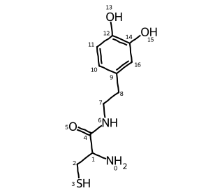 NC(CS)C(=O)NCCc1ccc(O)c(O)c1